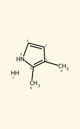 Cc1cc[nH]c1C.[HH]